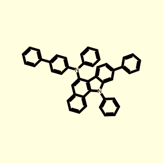 c1ccc(-c2ccc(N(c3ccccc3)c3cc4ccccc4c4c3c3ccc(-c5ccccc5)cc3n4-c3ccccc3)cc2)cc1